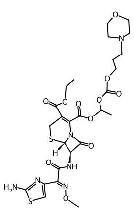 CCOC(=O)C1=C(C(=O)OC(C)OC(=O)OCCCN2CCOCC2)N2C(=O)[C@@H](NC(=O)C(=NOC)c3csc(N)n3)[C@@H]2SC1